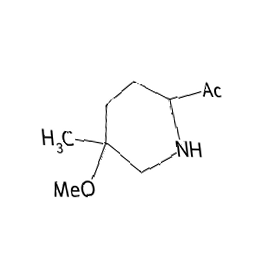 COC1(C)CCC(C(C)=O)NC1